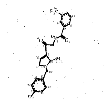 N[C@@H]1C(C(=O)CNC(=O)c2cccc(C(F)(F)F)c2)CCN1Cc1ccc(Cl)cc1